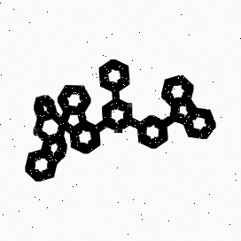 c1ccc(-c2cc(-c3cccc4c3-c3ccccc3C43c4ccccc4Oc4c3ccc3ccccc43)nc(-c3cccc(-n4c5ccccc5c5ccccc54)c3)n2)cc1